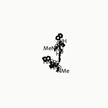 CN[C@@H](C)C(=O)N[C@H](C(=O)N1CCC[C@H]1C(=O)N[C@@H]1CCCc2ccccc21)[C@@H](C)OCC#CC#CCO[C@H](C)[C@H](NC(=O)[C@H](C)NC)C(=O)N1CCC[C@H]1C(=O)N[C@@H]1CCCc2ccccc21